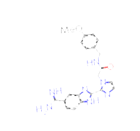 COc1ccc(CNC(=O)Cn2ccnc2-c2nc3cc(C(=N)N)ccc3[nH]2)cc1